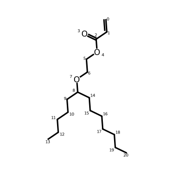 C=CC(=O)OCCOC(CCCCC)CCCCCCC